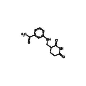 CC(=O)c1cccc(NCC2CCC(=O)NC2=O)c1